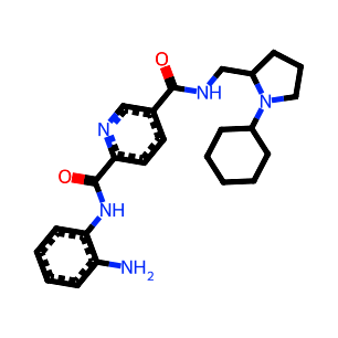 Nc1ccccc1NC(=O)c1ccc(C(=O)NCC2CCCN2C2CCCCC2)cn1